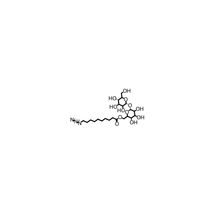 [N-]=[N+]=NCCCCCCCCCC(=O)OCC1O[C@H](O[C@H]2OC(CO)[C@@H](O)C(O)C2O)C(O)C(O)[C@H]1O